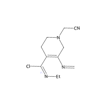 C=NC1=C(/C(Cl)=N\CC)CCN(CC#N)C1